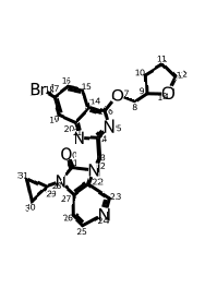 O=c1n(Cc2nc(OCC3CCCO3)c3ccc(Br)cc3n2)c2cnccc2n1C1CC1